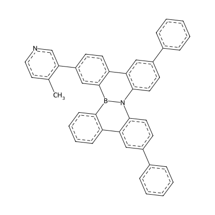 Cc1ccncc1-c1ccc2c(c1)B1c3ccccc3-c3cc(-c4ccccc4)ccc3N1c1ccc(-c3ccccc3)cc1-2